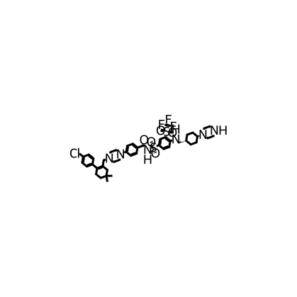 CC1(C)CCC(c2ccc(Cl)cc2)=C(CN2CCN(c3ccc(C(=O)NS(=O)(=O)c4ccc(NC[C@H]5CC[C@H](N6CCNCC6)CC5)c(S(=O)(=O)C(F)(F)F)c4)cc3)CC2)C1